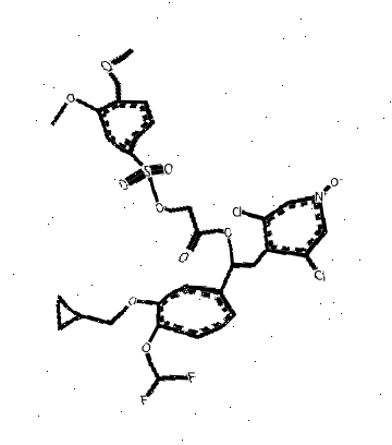 COc1ccc(S(=O)(=O)OCC(=O)OC(Cc2c(Cl)c[n+]([O-])cc2Cl)c2ccc(OC(F)F)c(OCC3CC3)c2)cc1OC